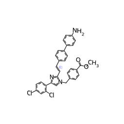 COC(=O)c1ccc(Cn2cc(-c3ccc(Cl)cc3Cl)nc2/C=C/c2ccc(-c3ccc(N)cc3)cc2)cc1